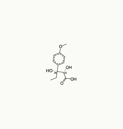 CC[C@@](O)(c1ccc(OC)cc1)[C@H](O)C(=O)O